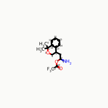 CC1(C)OCC(CC(N)OC(=O)C(F)(F)F)c2ccccc21